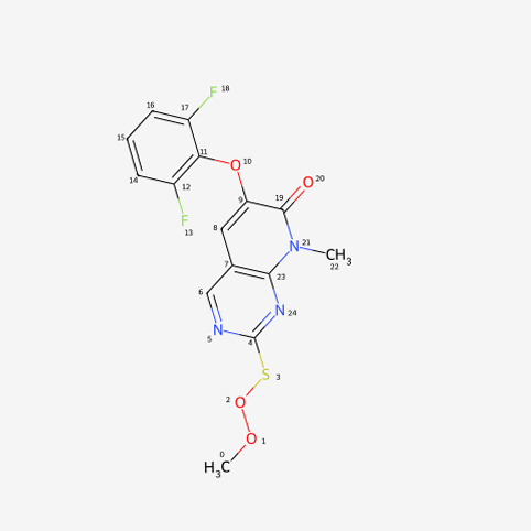 COOSc1ncc2cc(Oc3c(F)cccc3F)c(=O)n(C)c2n1